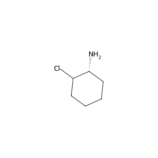 N[C@@H]1CCCCC1Cl